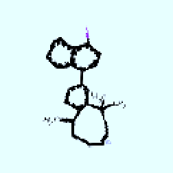 C=C1CC/C=C\CC(C)(C)c2cc(-c3ccc(I)c4ccccc34)ccc21